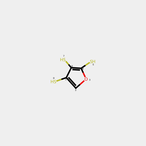 Sc1coc(S)c1S